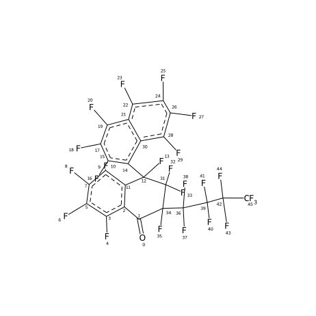 O=C1c2c(F)c(F)c(F)c(F)c2C(F)(c2c(F)c(F)c(F)c3c(F)c(F)c(F)c(F)c23)C(F)(F)C1(F)C(F)(F)C(F)(F)C(F)(F)C(F)(F)F